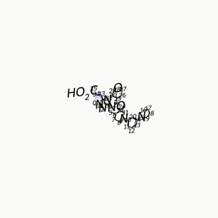 Cn1nc(N(CC2CCN(c3cccc(N4CCCC4)c3)CC2)C(=O)C2CCOCC2)nc1/C=C/C(=O)O